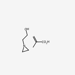 C=C(C)C(=O)O.OCCN1CC1